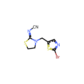 N#CN=C1SCCN1Cc1cnc(Br)s1